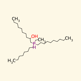 CCCCCCCCCC[PH](CC)(CCCCCCCC)CC(O)CCCCCCCC